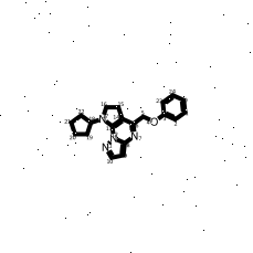 c1ccc(OCc2nc3ccnn3c3c2CCN3C2CCCC2)cc1